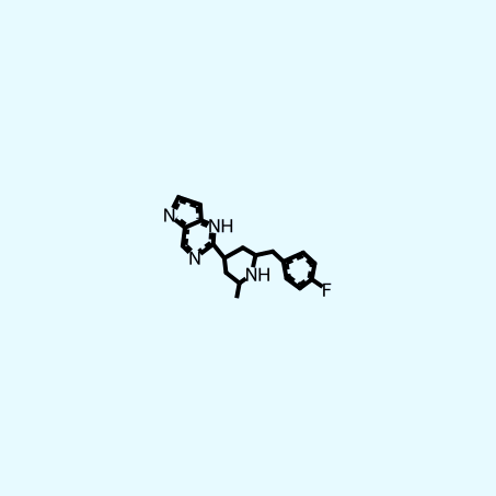 CC1CC(c2ncc3nccc-3[nH]2)CC(Cc2ccc(F)cc2)N1